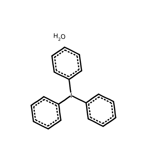 O.c1ccc(I(c2ccccc2)c2ccccc2)cc1